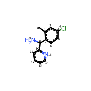 Cc1cc(Cl)ccc1C(N)c1ccccn1